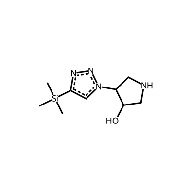 C[Si](C)(C)c1cn(C2CNCC2O)nn1